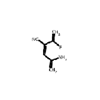 C=C(N)/C=C(/C#N)C(=C)F